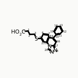 O=C(O)CCCSc1ccc2c(-c3ccccc3)cc3nncn3c2c1